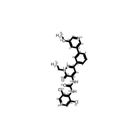 CCn1nc(-c2cccc(-c3cncc(OC)c3)c2)cc(NC(=O)Nc2c(Cl)cncc2Cl)c1=O